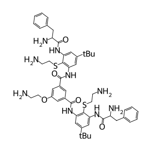 CC(C)(C)c1cc(NC(=O)c2cc(OCCN)cc(C(=O)Nc3cc(C(C)(C)C)cc(NC(=O)C(N)Cc4ccccc4)c3SCCN)c2)c(SCCN)c(NC(=O)C(N)Cc2ccccc2)c1